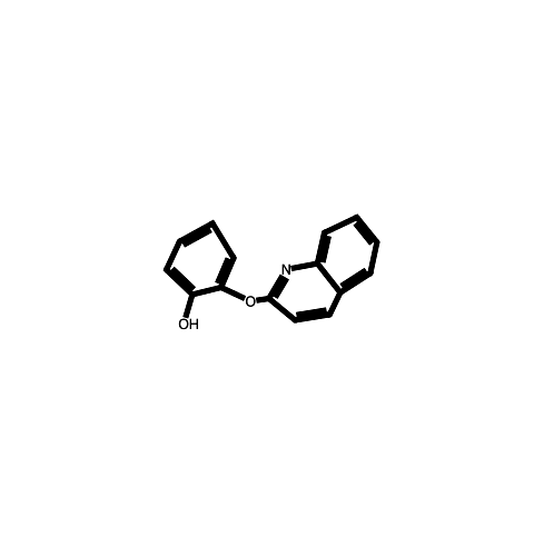 Oc1ccccc1Oc1ccc2ccccc2n1